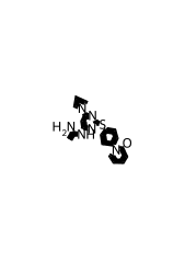 C=C(N)Nc1cc(N2CCC2)nc(Sc2ccc(-n3ccccc3=O)cc2)n1